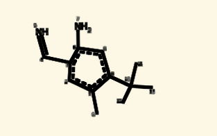 Cc1cc(C=N)c(N)cc1C(C)(C)C